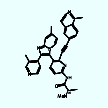 CN[C@@H](C)C(=O)Nc1ccc(-c2c(-c3ccncc3C)nc3cc(C)ccn23)c(C#Cc2ccc3c(C)nccc3c2)n1